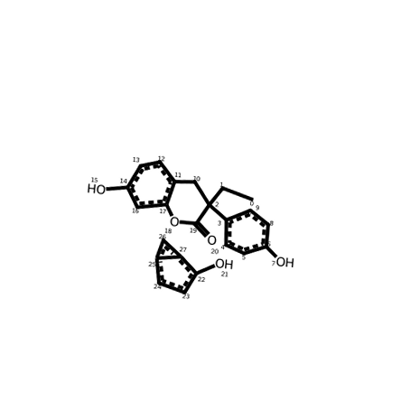 CCC1(c2ccc(O)cc2)Cc2ccc(O)cc2OC1=O.Oc1ccc2cc1-2